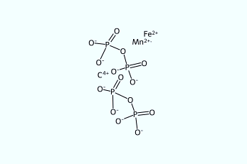 O=P([O-])([O-])OP(=O)([O-])[O-].O=P([O-])([O-])OP(=O)([O-])[O-].[C+4].[Fe+2].[Mn+2]